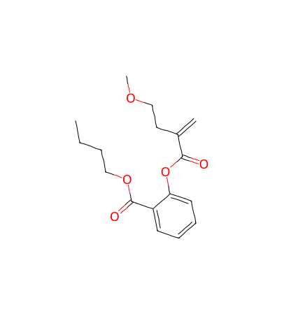 C=C(CCOC)C(=O)Oc1ccccc1C(=O)OCCCC